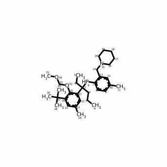 CCCC(CC)(Pc1ccc(C)cc1CN1CCCCC1)c1cc(C)cc(C(C)(C)C)c1OCOC